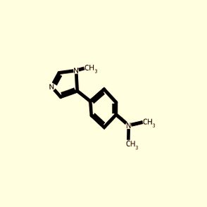 CN(C)c1ccc(-c2cncn2C)cc1